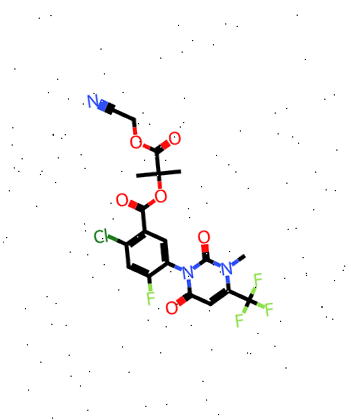 Cn1c(C(F)(F)F)cc(=O)n(-c2cc(C(=O)OC(C)(C)C(=O)OCC#N)c(Cl)cc2F)c1=O